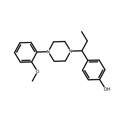 CCC(c1ccc(O)cc1)N1CCN(c2ccccc2OC)CC1